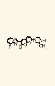 C[C@H]1CN(c2ccc3cc(-c4cn5cccc(F)c5n4)c(=O)oc3n2)CCN1